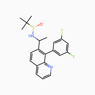 CC(N[S+]([O-])C(C)(C)C)c1ccc2cccnc2c1-c1cc(F)cc(F)c1